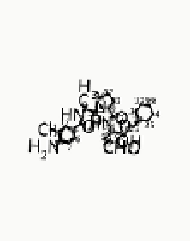 C[C@H](NC(=O)c1ccc(N)c(Cl)c1)C(=O)N1CCC[C@H]1C(=O)NC(CC=O)C(O)OCC1CCCCC1